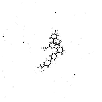 CCC(CC)N1CCN(c2ccc(-c3cccc4c3-c3nc(N)nc(-c5ccc(C)cc5)c3C4=O)cc2)CC1